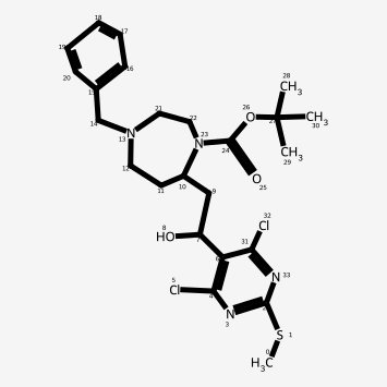 CSc1nc(Cl)c(C(O)CC2CCN(Cc3ccccc3)CCN2C(=O)OC(C)(C)C)c(Cl)n1